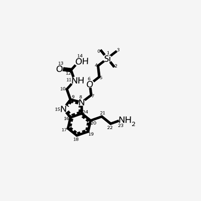 C[Si](C)(C)CCOCn1c(CNC(=O)O)nc2cccc(CCN)c21